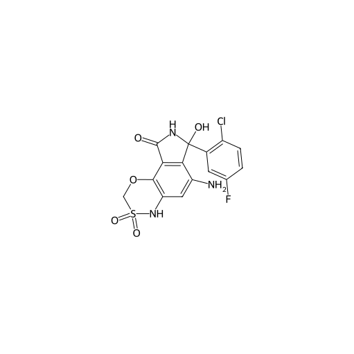 Nc1cc2c(c3c1C(O)(c1cc(F)ccc1Cl)NC3=O)OCS(=O)(=O)N2